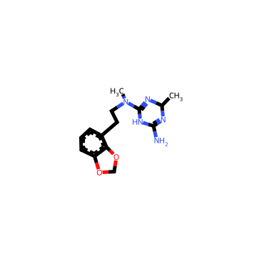 CC1N=C(N)NC(N(C)CCc2cccc3c2OCO3)=N1